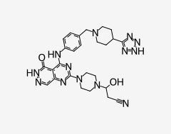 N#CCC(O)N1CCN(c2nc(Nc3ccc(CN4CCC(c5nn[nH]n5)CC4)cc3)c3c(=O)[nH]ncc3n2)CC1